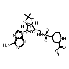 COC(=O)C1CC(S(=O)(=O)NC[C@H]2O[C@@H](n3cnc4c(N)ncnc43)[C@H]3OC(C)(C)O[C@H]32)CCN1